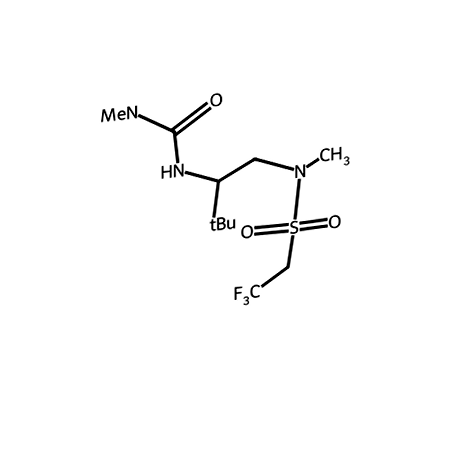 CNC(=O)NC(CN(C)S(=O)(=O)CC(F)(F)F)C(C)(C)C